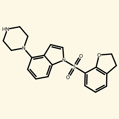 O=S(=O)(c1cccc2c1OCC2)n1ccc2c(N3CCNCC3)cccc21